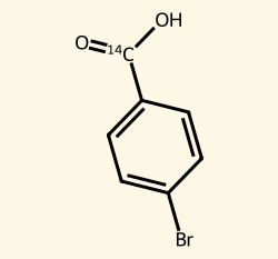 O=[14C](O)c1ccc(Br)cc1